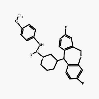 [O-][S+](Nc1ccc(OC(F)(F)F)cc1)N1CCCC(C2c3ccc(F)cc3CCc3cc(F)ccc32)C1